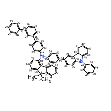 CC1(C)c2ccccc2-c2c(N(c3ccc(-c4cccc(-c5ccccc5)c4)cc3)c3ccc(-c4ccc5c(c4)c4ccccc4n5-c4ccccc4)cc3)cccc21